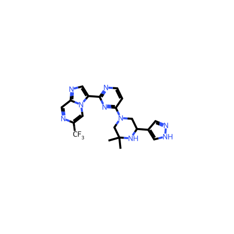 CC1(C)CN(c2ccnc(-c3cnc4cnc(C(F)(F)F)cn34)n2)CC(c2cn[nH]c2)N1